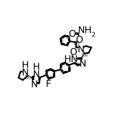 NC(=O)O[C@@H](C(=O)N1CCC[C@H]1c1ncc(-c2ccc(-c3ccc(-c4cnc([C@@H]5CCCN5)[nH]4)c(F)c3)cc2)[nH]1)c1ccccc1